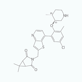 Cc1cc(Cl)cc(-c2ccnc3cc(CN4C(=O)C5C(C4=O)C5(C)C)sc23)c1O[C@@H]1CNCC[C@H]1C